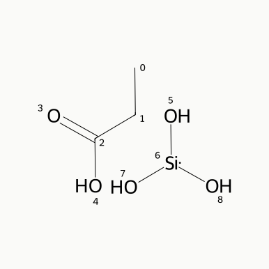 CCC(=O)O.O[Si](O)O